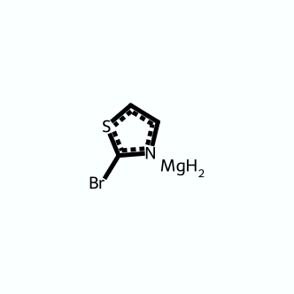 Brc1nccs1.[MgH2]